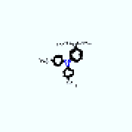 COB(OC)c1cccc(N(c2ccc(C)cc2)c2ccc(C)cc2)c1